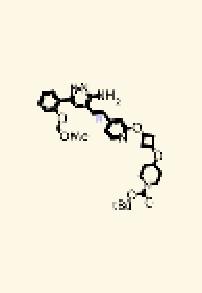 COCOc1ccccc1-c1cc(/C=C/c2ccnc(OC3CC(OC4CCN(C(=O)OC(C)(C)C)CC4)C3)c2)c(N)nn1